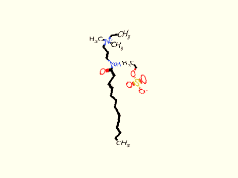 CCCCCCCCCCCC(=O)NCCC[N+](C)(C)CC.CCOS(=O)(=O)[O-]